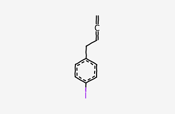 C=C=CCc1ccc(I)cc1